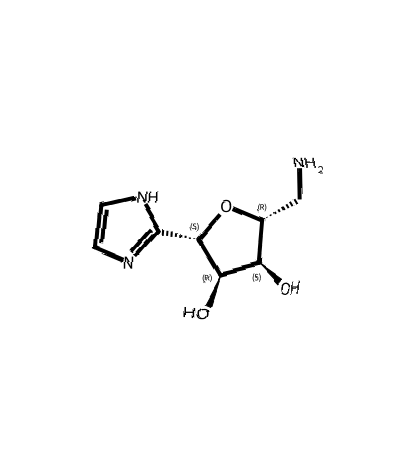 NC[C@H]1O[C@@H](c2ncc[nH]2)[C@H](O)[C@@H]1O